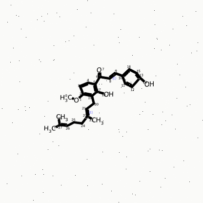 COc1ccc(C(=O)/C=C/c2ccc(O)cc2)c(O)c1C/C=C(\C)CCC=C(C)C